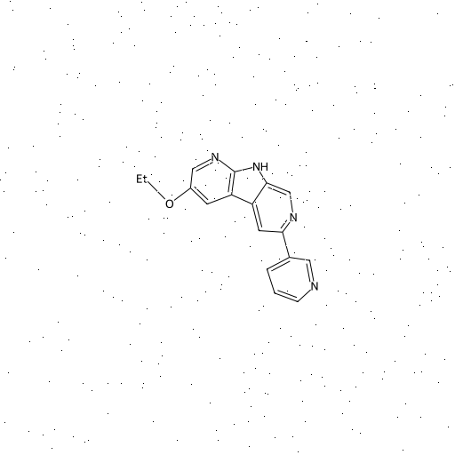 CCOc1cnc2[nH]c3cnc(-c4cccnc4)cc3c2c1